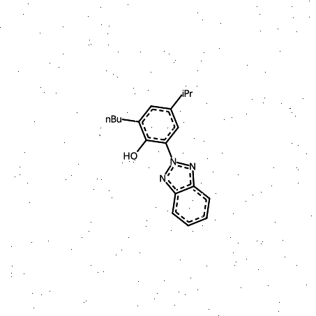 CCCCc1cc(C(C)C)cc(-n2nc3ccccc3n2)c1O